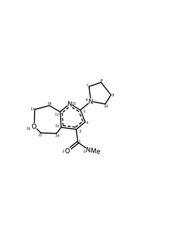 CNC(=O)c1cc(N2CCCC2)nc2c1CCOCC2